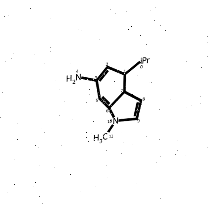 CC(C)C1C=C(N)C=C2C1C=CN2C